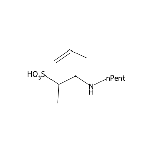 C=CC.CCCCCNCC(C)S(=O)(=O)O